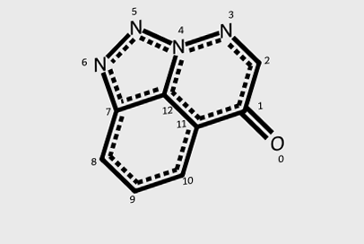 O=c1cnn2nnc3cccc1c32